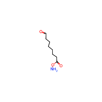 NOC(=O)CCCCCCC=O